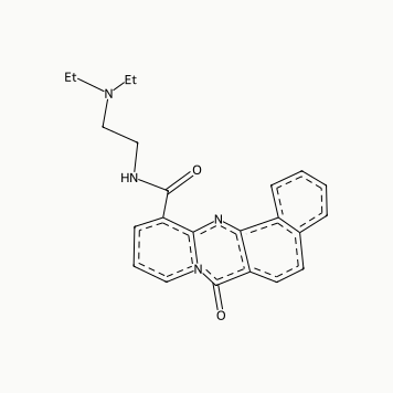 CCN(CC)CCNC(=O)c1cccn2c(=O)c3ccc4ccccc4c3nc12